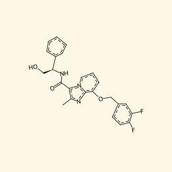 Cc1nc2c(OCc3ccc(F)c(F)c3)cccn2c1C(=O)N[C@@H](CO)c1ccccc1